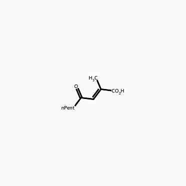 CCCCCC(=O)C=C(C)C(=O)O